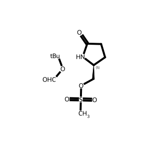 CC(C)(C)OC=O.CS(=O)(=O)OC[C@@H]1CCC(=O)N1